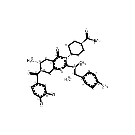 CNC(=O)[C@H]1CC[C@H](n2c(N(C)[C@@H](C)c3ccc(C(F)(F)F)cc3)nc3c(c2=O)C[C@@H](C)N(C(=O)c2ccc(Cl)c(Cl)c2)C3)CC1